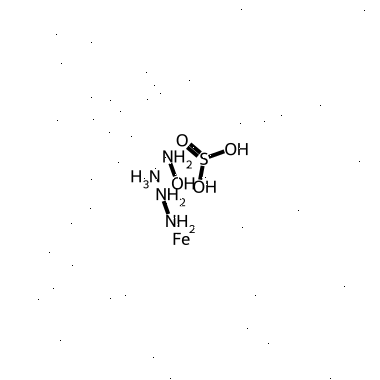 N.NN.NO.O=S(O)O.[Fe]